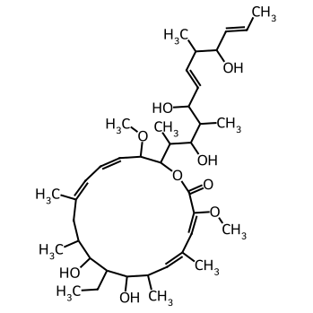 CC=CC(O)C(C)C=CC(O)C(C)C(O)C(C)C1OC(=O)C(OC)=CC(C)=CC(C)C(O)C(CC)C(O)C(C)CC(C)=CC=CC1OC